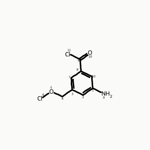 Nc1cc(COCl)cc(C(=O)Cl)c1